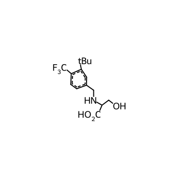 CC(C)(C)c1cc(CNC(CO)C(=O)O)ccc1C(F)(F)F